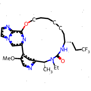 CCN1C(=O)N[C@@H](CCC(F)(F)F)CCCCCCOc2nc(cn3ccnc23)-c2cc(ncc2OC)[C@H]1C